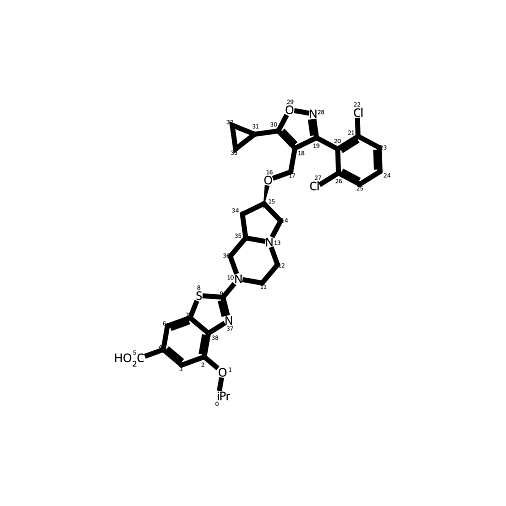 CC(C)Oc1cc(C(=O)O)cc2sc(N3CCN4C[C@H](OCc5c(-c6c(Cl)cccc6Cl)noc5C5CC5)CC4C3)nc12